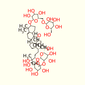 C[C@H](CC[C@@H](O[C@@H]1O[C@H](CO)[C@@H](O)[C@H](O)[C@H]1O[C@@H]1O[C@H](CO)[C@@H](O)[C@H](O)[C@H]1O)C(C)(C)O)[C@H]1CC[C@@]2(C)[C@@H]3CC=C4[C@@H](CC[C@H](O[C@@H]5O[C@H](CO[C@@H]6O[C@H](CO)[C@@H](O)[C@H](O)[C@H]6O)[C@@H](O)[C@H](O)[C@H]5O)C4(C)C)[C@]3(C)C(=O)C[C@]12C